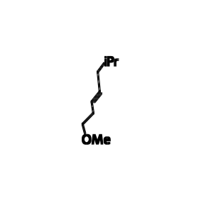 COCC/C=C/CC(C)C